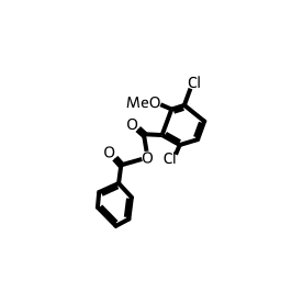 COc1c(Cl)ccc(Cl)c1C(=O)OC(=O)c1ccccc1